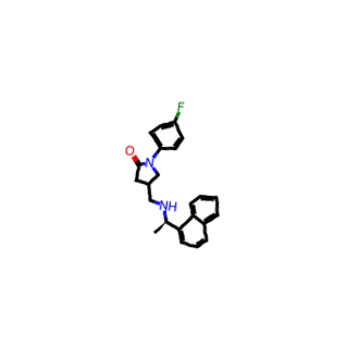 C[C@@H](NCC1CC(=O)N(c2ccc(F)cc2)C1)c1cccc2ccccc12